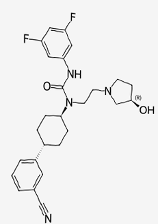 N#Cc1cccc([C@H]2CC[C@H](N(CCN3CC[C@@H](O)C3)C(=O)Nc3cc(F)cc(F)c3)CC2)c1